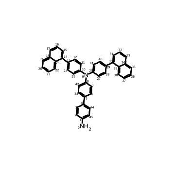 Nc1ccc(-c2ccc(N(c3ccc(-c4cccc5ccccc45)cc3)c3ccc(-c4cccc5ccccc45)cc3)cc2)cc1